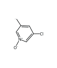 [CH2]c1cc(Cl)c[n+]([O-])c1